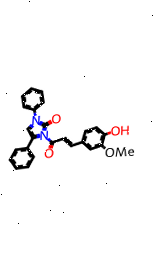 COc1cc(C=CC(=O)n2c(-c3ccccc3)cn(-c3ccccc3)c2=O)ccc1O